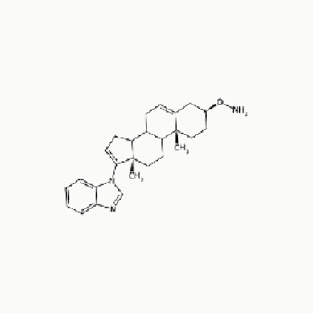 C[C@]12CC[C@H](ON)CC1=CCC1C2CC[C@]2(C)C(n3cnc4ccccc43)=CCC12